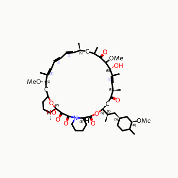 COC1C(=O)C(C)C[C@H](C)/C=C/C=C/C=C(\C)[C@@H](OC)CC2CC[C@@H](C)[C@@](O)(O2)C(=O)C(=O)N2CCCC[C@H]2C(=O)O[C@H]([C@H](C)C[C@@H]2CCC(C)[C@H](OC)C2)CC(=O)[C@H](C)/C=C(\C)[C@H]1O